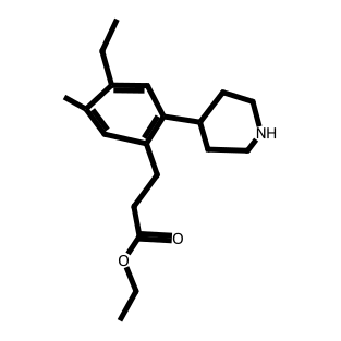 CCOC(=O)CCc1cc(C)c(CC)cc1C1CCNCC1